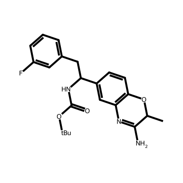 CC1Oc2ccc(C(Cc3cccc(F)c3)NC(=O)OC(C)(C)C)cc2N=C1N